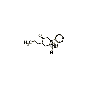 C=CCC1C[C@H]2[C@H]3Cc4ccccc4[C@@]2(CCN3)CC1=O